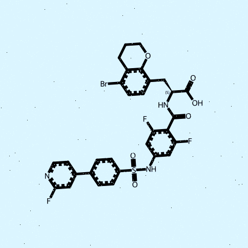 O=C(N[C@@H](Cc1ccc(Br)c2c1OCCC2)C(=O)O)c1c(F)cc(NS(=O)(=O)c2ccc(-c3ccnc(F)c3)cc2)cc1F